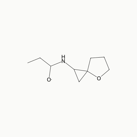 CCC([O])NC1CC12CCCO2